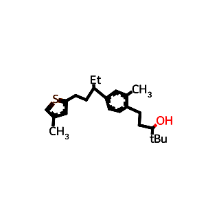 CCC(CCc1cc(C)cs1)c1ccc(CCC(O)C(C)(C)C)c(C)c1